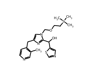 Cc1cnccc1Cc1cn(COCC[Si](C)(C)C)c(C(O)c2cncs2)n1